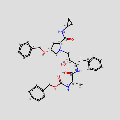 CC(C)[C@H](NC(=O)OCc1ccccc1)C(=O)N[C@@H](Cc1ccccc1)[C@H](O)CN1C[C@H](OCc2ccccc2)C[C@H]1C(=O)NC1CC1